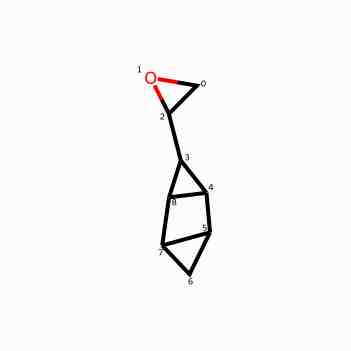 C1OC1C1C2C3CC3C12